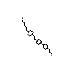 CCCCc1ccc(-c2ccc(CCC3CCC(/C=C/CCCF)CC3)cc2)cc1